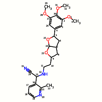 COc1cc(C2CC3CC(CCNC(C#N)c4cccnc4C)OC3O2)cc(OC)c1OC